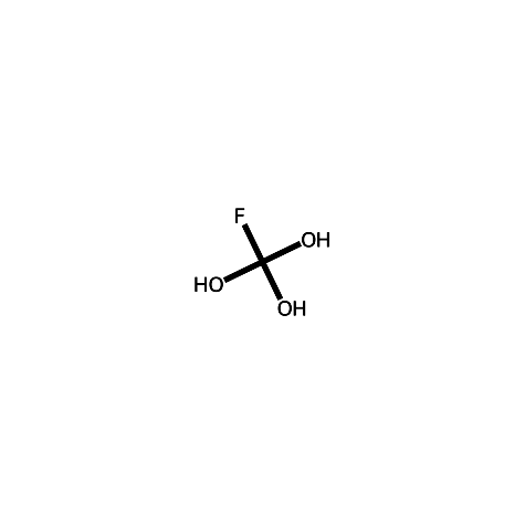 OC(O)(O)F